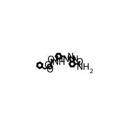 NC(=O)c1cccc2c(NCc3cccc(NC(=O)C4=COC(Cc5ccccc5)O4)c3)ncnc12